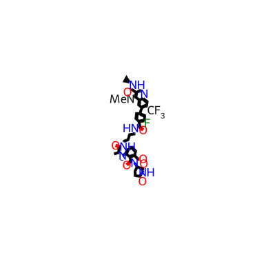 CNc1c(C(=O)NC2CC2)cnc2cc(C(F)(F)F)c(-c3ccc(C(=O)NCCCCNC(=O)C(C)N(C)c4cccc5c4C(=O)N(C4CCC(=O)NC4=O)C5=O)c(F)c3)cc12